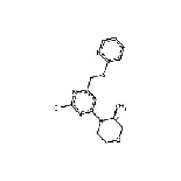 C[C@H]1COCCN1c1cc(CSc2ccccn2)nc(Cl)n1